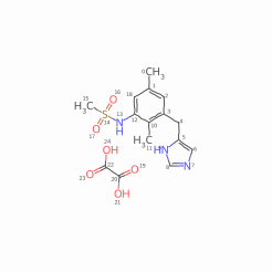 Cc1cc(Cc2cnc[nH]2)c(C)c(NS(C)(=O)=O)c1.O=C(O)C(=O)O